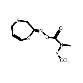 CN(SC(Cl)(Cl)Cl)C(=O)ON=C1CSCC=CS1